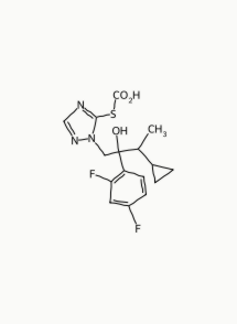 CC(C1CC1)C(O)(Cn1ncnc1SC(=O)O)c1ccc(F)cc1F